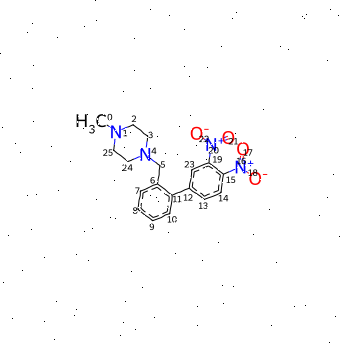 CN1CCN(Cc2ccccc2-c2ccc([N+](=O)[O-])c([N+](=O)[O-])c2)CC1